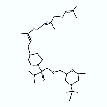 CC(C)=CCC/C(C)=C/CC/C(C)=C/CN1CCN(P(=O)(COCC2CN(C(C)(C)C)CC(C)O2)N(C)C)CC1